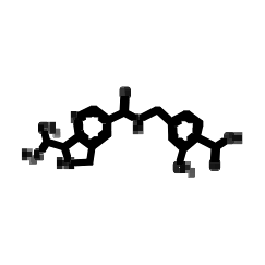 Cc1cc(CNC(=O)c2cnc3c(c2)CNC3C(C)C)ccc1C(=O)O